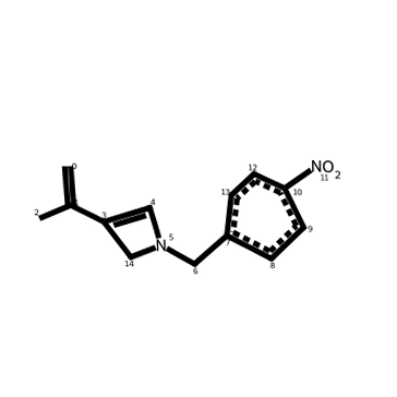 C=C(C)C1=CN(Cc2ccc([N+](=O)[O-])cc2)C1